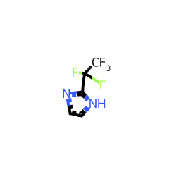 FC(F)(F)C(F)(F)c1ncc[nH]1